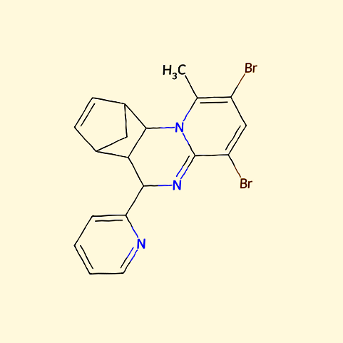 CC1=C(Br)C=C(Br)C2=NC(c3ccccn3)C3C4C=CC(C4)C3N21